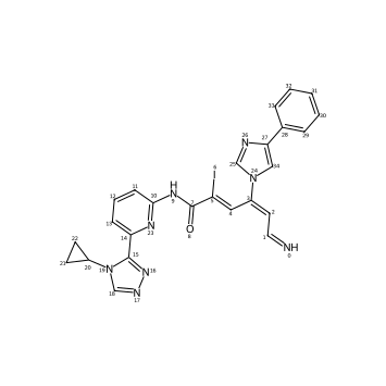 N=C/C=C(\C=C(/I)C(=O)Nc1cccc(-c2nncn2C2CC2)n1)n1cnc(-c2ccccc2)c1